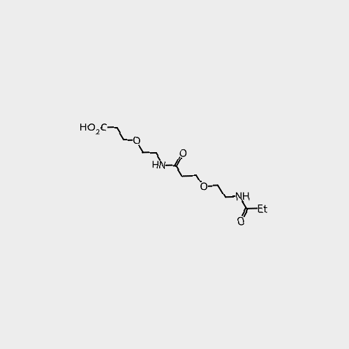 CCC(=O)NCCOCCC(=O)NCCOCCC(=O)O